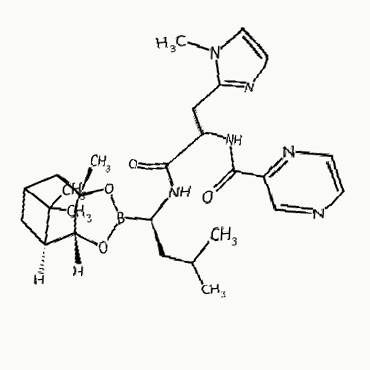 CC(C)C[C@H](NC(=O)C(Cc1nccn1C)NC(=O)c1cnccn1)B1O[C@@H]2[C@H]3CC(C[C@]2(C)O1)C3(C)C